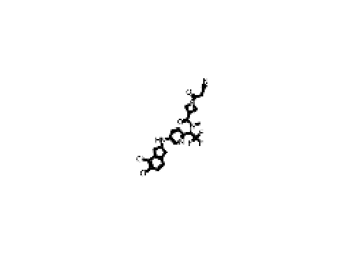 CN(C(=O)C1CN(C(=O)CC#N)C1)[C@@H](c1ccc(NC2Cc3ccc(Cl)c(Cl)c3C2)cn1)C(F)(F)F